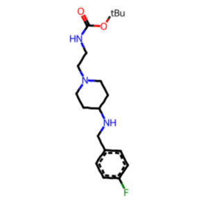 CC(C)(C)OC(=O)NCCN1CCC(NCc2ccc(F)cc2)CC1